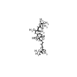 C[C@H](C[C@H]1CC[C@@H]2O[C@@H](CCCOC(=O)C(C)(C)C)C[C@]2(CO)O1)/C(N)=C/C(=O)OC(C)(C)C